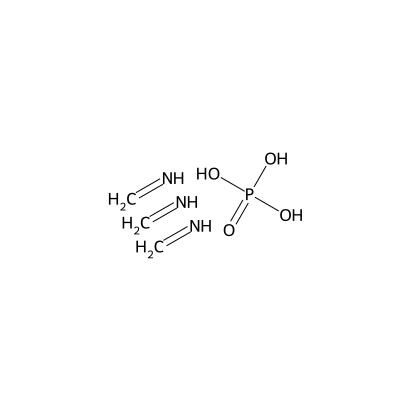 C=N.C=N.C=N.O=P(O)(O)O